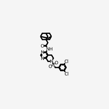 O=C(CC12CC3CC(CC(C3)C1)C2)Nc1ncnc2c1CCN(S(=O)(=O)Cc1cc(Cl)cc(Cl)c1)C2